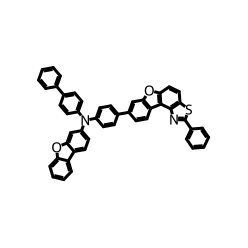 c1ccc(-c2ccc(N(c3ccc(-c4ccc5c(c4)oc4ccc6sc(-c7ccccc7)nc6c45)cc3)c3ccc4c(c3)oc3ccccc34)cc2)cc1